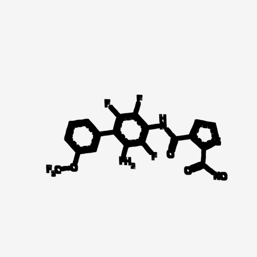 O=NC(=O)c1sccc1C(=O)Nc1c(F)c(F)c(-c2cccc(OC(F)(F)F)c2)c(P)c1F